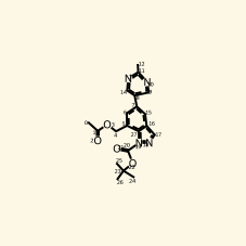 CC(=O)OCc1cc(-c2cnc(C)nc2)cc2cnn(C(=O)OC(C)(C)C)c12